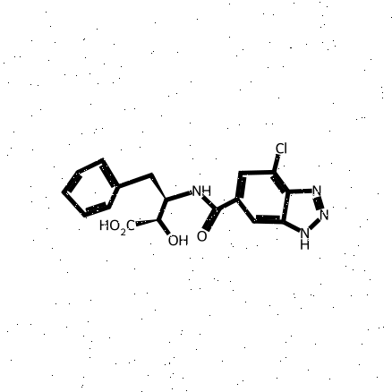 O=C(N[C@H](Cc1ccccc1)[C@@H](O)C(=O)O)c1cc(Cl)c2nn[nH]c2c1